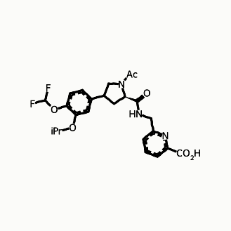 CC(=O)N1CC(c2ccc(OC(F)F)c(OC(C)C)c2)C[C@@H]1C(=O)NCc1cccc(C(=O)O)n1